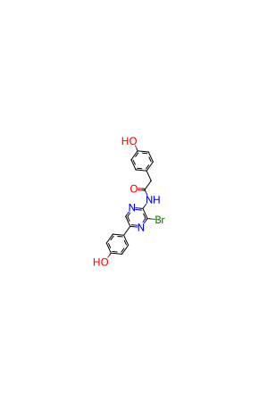 O=C(Cc1ccc(O)cc1)Nc1ncc(-c2ccc(O)cc2)nc1Br